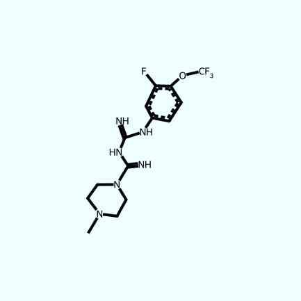 CN1CCN(C(=N)NC(=N)Nc2ccc(OC(F)(F)F)c(F)c2)CC1